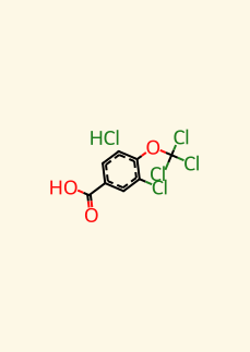 Cl.O=C(O)c1ccc(OC(Cl)(Cl)Cl)c(Cl)c1